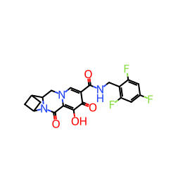 O=C(NCc1c(F)cc(F)cc1F)c1cn2c(c(O)c1=O)C(=O)N1C3CC(C3)C1C2